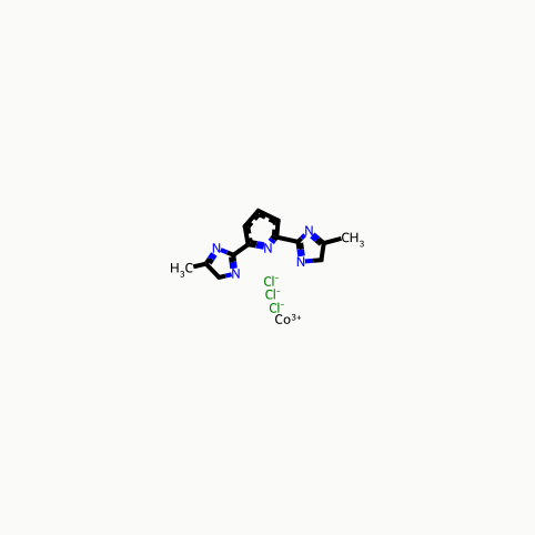 CC1=NC(c2cccc(C3=NCC(C)=N3)n2)=NC1.[Cl-].[Cl-].[Cl-].[Co+3]